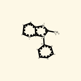 Cc1nc2cccnc2n1-c1ccccc1